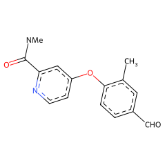 CNC(=O)c1cc(Oc2ccc(C=O)cc2C)ccn1